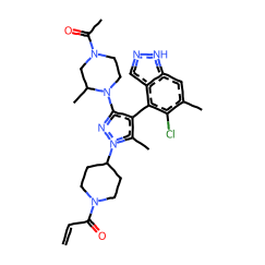 C=CC(=O)N1CCC(n2nc(N3CCN(C(C)=O)CC3C)c(-c3c(Cl)c(C)cc4[nH]ncc34)c2C)CC1